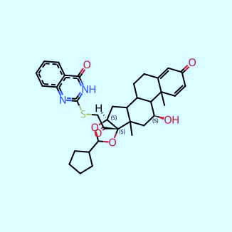 CC12C=CC(=O)C=C1CCC1C2[C@@H](O)CC2(C)C1C[C@@H]1OC(C3CCCC3)O[C@]12C(=O)CSc1nc2ccccc2c(=O)[nH]1